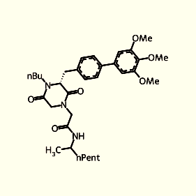 CCCCCC(C)NC(=O)CN1CC(=O)N(CCCC)[C@H](Cc2ccc(-c3cc(OC)c(OC)c(OC)c3)cc2)C1=O